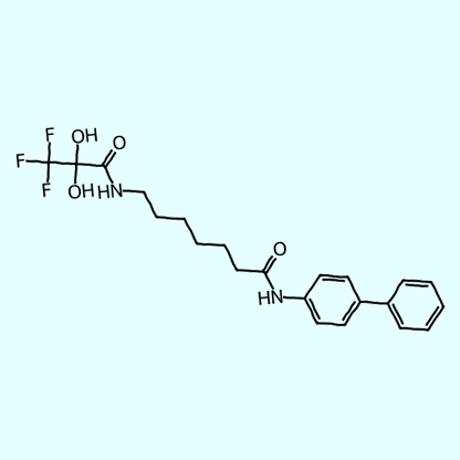 O=C(CCCCCCNC(=O)C(O)(O)C(F)(F)F)Nc1ccc(-c2ccccc2)cc1